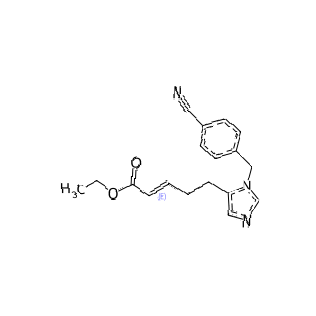 CCOC(=O)/C=C/CCc1cncn1Cc1ccc(C#N)cc1